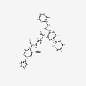 CC(C)(C)c1cc(-c2cccs2)ccc1C(=O)OONC(=O)c1cc(N2CCOCC2)ccc1OCc1ccccc1